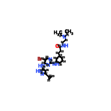 CCN(CC)CCNC(=O)CCc1cccc(Nc2ncc(Br)c(Nc3cc(C4CC4)n[nH]3)n2)c1